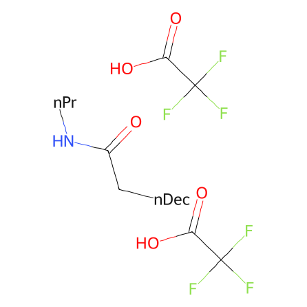 CCCCCCCCCCCC(=O)NCCC.O=C(O)C(F)(F)F.O=C(O)C(F)(F)F